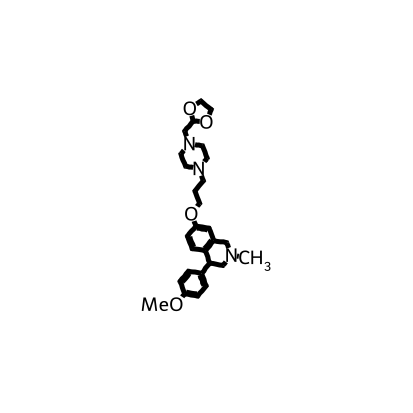 COc1ccc(C2CN(C)Cc3cc(OCCCN4CCN(CC5OCCO5)CC4)ccc32)cc1